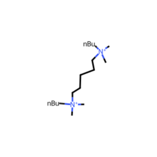 CCCC[N+](C)(C)CCCCC[N+](C)(C)CCCC